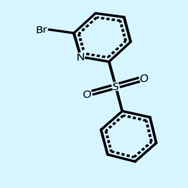 O=S(=O)(c1ccccc1)c1cccc(Br)n1